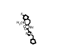 CN1C(=O)C(NC(=O)c2cn(Cc3ccccc3)cn2)CCc2ccc(F)cc21